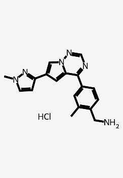 Cc1cc(-c2ncnn3cc(-c4ccn(C)n4)cc23)ccc1CN.Cl